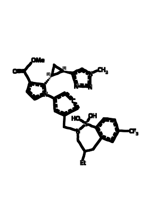 CCC1Cc2cc(C(F)(F)F)ccc2S(O)(O)N(Cc2cccc(-n3ccc(C(=O)OC)c3[C@@H]3C[C@H]3c3cn(C)nn3)c2)C1